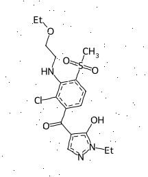 CCOCCNc1c(S(C)(=O)=O)ccc(C(=O)c2cnn(CC)c2O)c1Cl